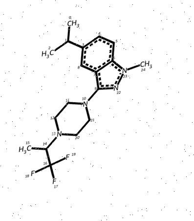 CC(C)c1ccc2c(c1)c(N1CCN(C(C)C(F)(F)F)CC1)nn2C